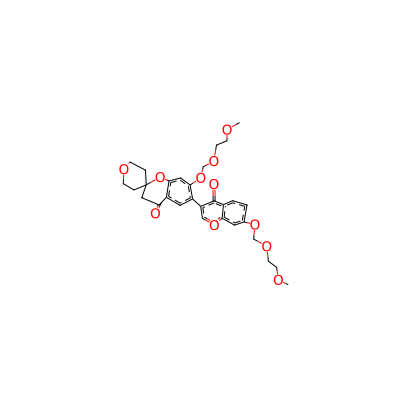 COCCOCOc1ccc2c(=O)c(-c3cc4c(cc3OCOCCOC)OC3(CCOCC3)CC4=O)coc2c1